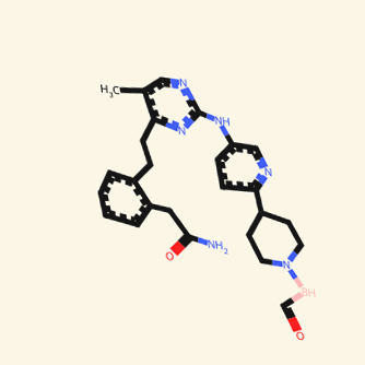 Cc1cnc(Nc2ccc(C3CCN(BC=O)CC3)nc2)nc1CCc1ccccc1CC(N)=O